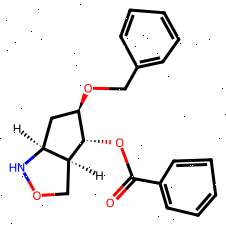 O=C(O[C@@H]1[C@H]2CON[C@H]2C[C@H]1OCc1ccccc1)c1ccccc1